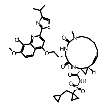 COc1ccc2c(OCC[C@@H]3NC(=O)N(C)CCCCC=C[C@@H]4C[C@@]4(C(=O)NS(=O)(=O)C4(CC5CC5)CC4)NC3=O)cc(-c3nc(C(C)C)cs3)nc2c1Cl